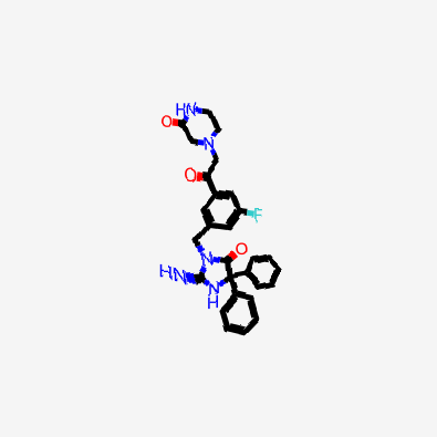 N=C1NC(c2ccccc2)(c2ccccc2)C(=O)N1Cc1cc(F)cc(C(=O)CN2CCNC(=O)C2)c1